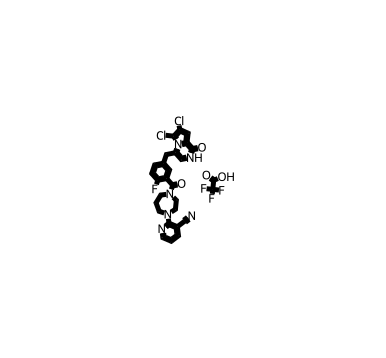 N#Cc1cccnc1N1CCCN(C(=O)c2cc(Cc3c[nH]c(=O)c4cc(Cl)c(Cl)n34)ccc2F)CC1.O=C(O)C(F)(F)F